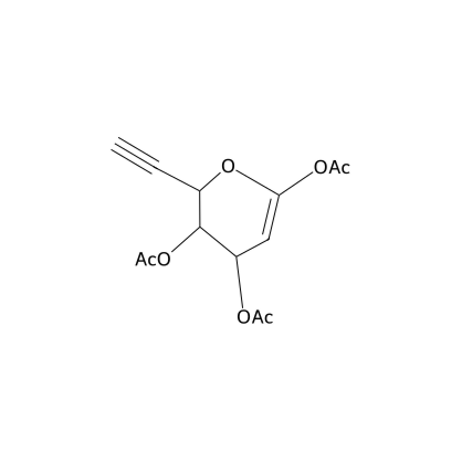 C#CC1OC(OC(C)=O)=CC(OC(C)=O)C1OC(C)=O